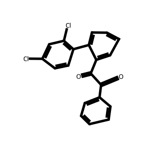 O=C(C(=O)c1ccccc1-c1ccc(Cl)cc1Cl)c1ccccc1